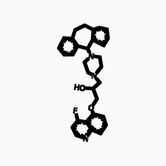 OC(COc1cccc2nccc(F)c12)CN1CCN(C2c3ccccc3CCc3ccccc32)CC1